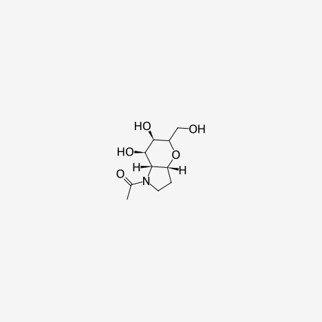 CC(=O)N1CC[C@H]2OC(CO)[C@H](O)[C@H](O)[C@H]21